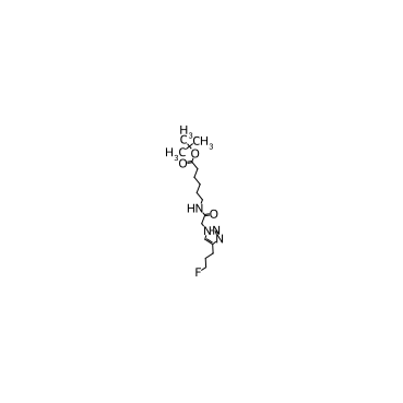 CC(C)(C)OC(=O)CCCCCNC(=O)Cn1cc(CCCF)nn1